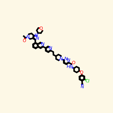 CC(=O)N1CCc2c(c(-c3cccc4cc(-c5ccc(CCC6CCN(c7ccc(C(=O)NC8CCC(Oc9ccc(C#N)c(Cl)c9)CC8)nn7)CC6)nc5)ncc34)nn2C2CCOCC2)C1